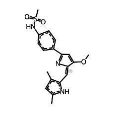 COC1=CC(c2ccc(NS(C)(=O)=O)cc2)=N/C1=C\c1[nH]c(C)cc1C